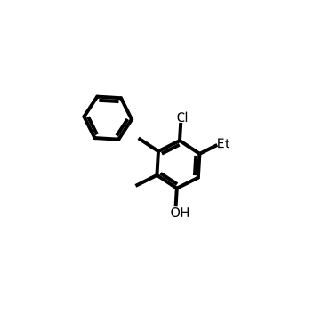 CCc1cc(O)c(C)c(C)c1Cl.c1ccccc1